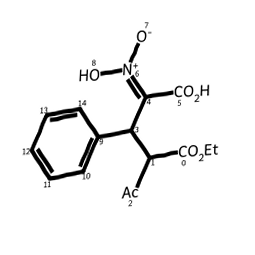 CCOC(=O)C(C(C)=O)C(C(C(=O)O)=[N+]([O-])O)c1ccccc1